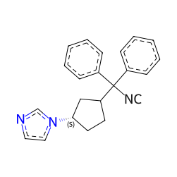 [C-]#[N+]C(c1ccccc1)(c1ccccc1)C1CC[C@H](n2ccnc2)C1